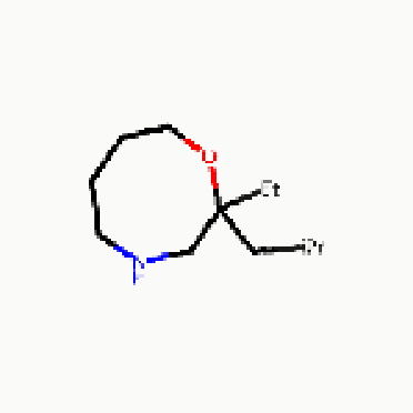 CCC1(CC(C)C)CNCCCCO1